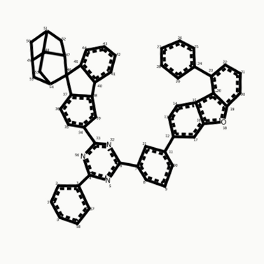 c1ccc(-c2nc(-c3cccc(-c4ccc5c(c4)oc4cccc(-c6ccccc6)c45)c3)nc(-c3ccc4c(c3)-c3ccccc3C43C4CC5CC(C4)CC3C5)n2)cc1